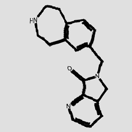 O=C1c2ncccc2CN1Cc1ccc2c(c1)CCNCC2